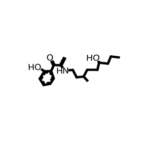 C=C(NCCC(C)CCC(O)CCC)C(=O)c1ccccc1O